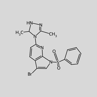 CC1=NNC(C)N1c1ccc2c(Br)cn(S(=O)(=O)c3ccccc3)c2n1